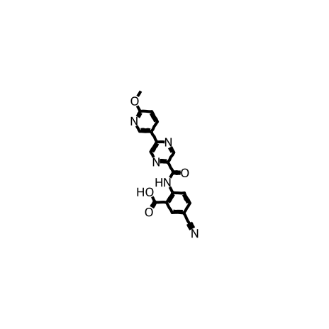 COc1ccc(-c2cnc(C(=O)Nc3ccc(C#N)cc3C(=O)O)cn2)cn1